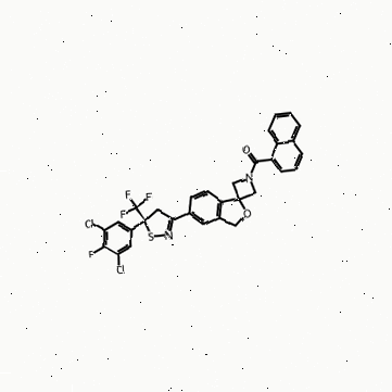 O=C(c1cccc2ccccc12)N1CC2(C1)OCc1cc(C3=NS[C@@](c4cc(Cl)c(F)c(Cl)c4)(C(F)(F)F)C3)ccc12